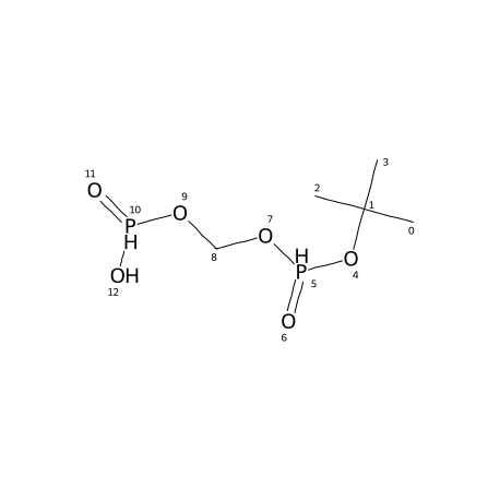 CC(C)(C)O[PH](=O)OCO[PH](=O)O